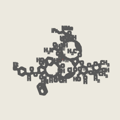 CCOc1ccc(NC(=O)Oc2cc(O)c3c(c2)[C@@H](C(=O)NC2C4CC5CC(C4)CC2C5)NC(=O)[C@H]2NC(=O)[C@H](NC(=O)[C@@H]4NC(=O)[C@H](CC(N)=O)NC(=O)[C@H](NC(=O)[C@@H](CC(C)C)NC)[C@H](O)c5ccc(c(C)c5)Oc5cc4cc(c5O[C@@H]4O[C@H](CO)[C@@H](O)[C@H](O)[C@H]4O[C@H]4C[C@](C)(N)[C@H](O)[C@H](C)O4)Oc4ccc(cc4Cl)[C@H]2O)c2ccc(O)c-3c2)cc1